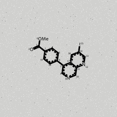 COC(=O)c1ccc(-c2cncc3ncc(I)cc23)cc1